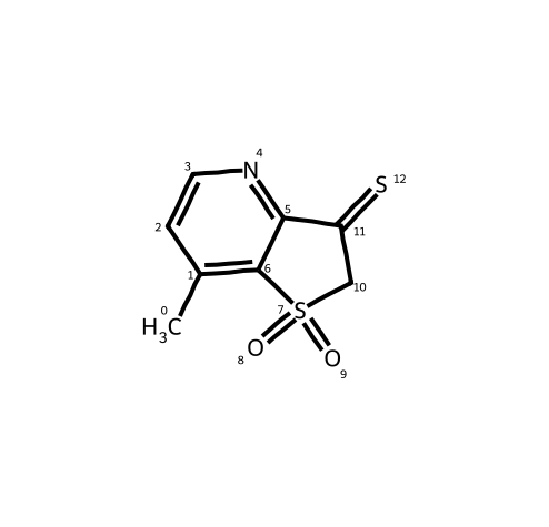 Cc1ccnc2c1S(=O)(=O)CC2=S